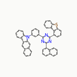 c1cc(-c2nc(-c3cccc4ccccc34)nc(-c3cccc4sc5ccccc5c34)n2)cc(-n2c3ccccc3c3cc4ccccc4cc32)c1